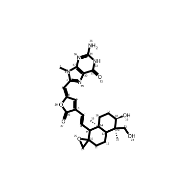 Cn1c(/C=C2C=C(/C=C/C3C4(CCC5[C@]3(C)CC[C@@H](O)[C@@]5(C)CO)CO4)C(=O)O\2)nc2c(=O)[nH]c(N)nc21